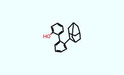 Oc1ccccc1-c1ccccc1C1C2CC3CC(C2)CC1C3